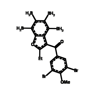 Bc1c(B)c(B)c2c(C(=O)c3cc(Br)c(OC)c(Br)c3)c(CC)oc2c1B